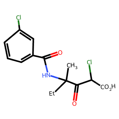 CCC(C)(NC(=O)c1cccc(Cl)c1)C(=O)C(Cl)C(=O)O